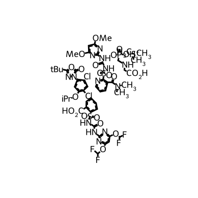 CC(C)Oc1cc(-n2nc(C(C)(C)C)oc2=O)c(Cl)cc1Cl.COc1cc(OC)nc(NC(=O)NS(=O)(=O)c2ncccc2C(=O)N(C)C)n1.C[S+](C)C.O=C(Nc1nc(OC(F)F)cc(OC(F)F)n1)NS(=O)(=O)c1ccccc1C(=O)O.O=C(O)CNCP(=O)([O-])O